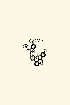 COC(=O)c1ccc2nc(CN3CCC(c4cccc5c4C(=O)C(c4ccc(Cl)cc4F)CO5)CC3)n(C[C@@H]3CCO3)c2c1